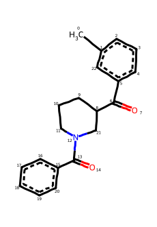 Cc1cccc(C(=O)C2CCCN(C(=O)c3ccccc3)C2)c1